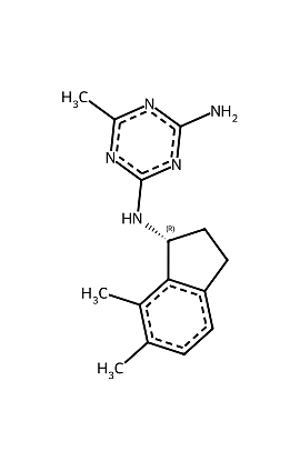 Cc1nc(N)nc(N[C@@H]2CCc3ccc(C)c(C)c32)n1